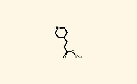 CCCCOC(=O)CCC1CCNCC1